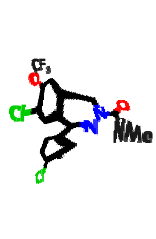 CNC(=O)N1CCc2cc(OC(F)(F)F)c(Cl)cc2C(c2ccc(Cl)cc2)=N1